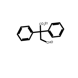 CCOC(=O)C(CC=O)(c1ccccc1)c1ccccc1